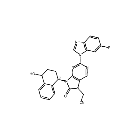 N#CCn1c(=O)n([C@@H]2CCC(O)c3ccccc32)c2nc(-n3cnc4ccc(F)cc43)ncc21